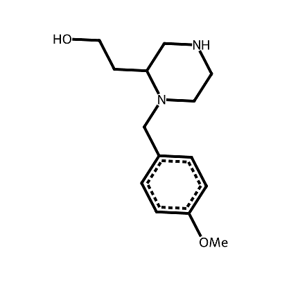 COc1ccc(CN2CCNCC2CCO)cc1